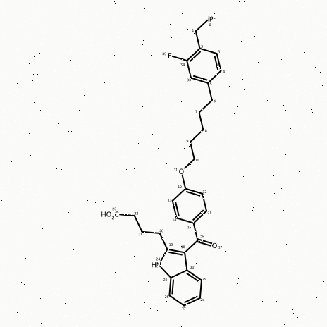 CC(C)Cc1ccc(CCCCCOc2ccc(C(=O)c3c(CCCC(=O)O)[nH]c4ccccc34)cc2)cc1F